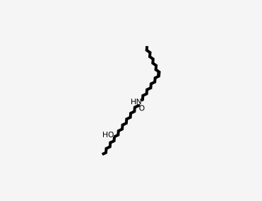 CCCCCCCC/C=C\CCCCCCCCNC(=O)CCCCCCCCCCC(O)CCCCCC